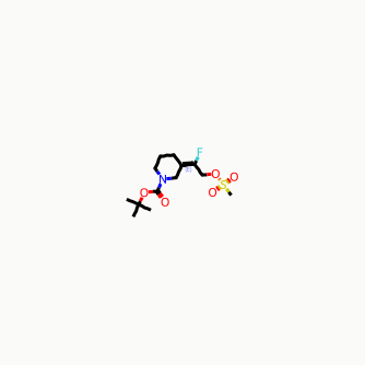 CC(C)(C)OC(=O)N1CCC/C(=C(\F)COS(C)(=O)=O)C1